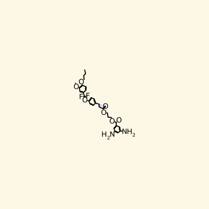 CCCCOc1ccc(C(F)(F)Oc2ccc(/C=C/C(=O)OCCCOC(=O)c3cc(N)cc(N)c3)cc2)cc1OC